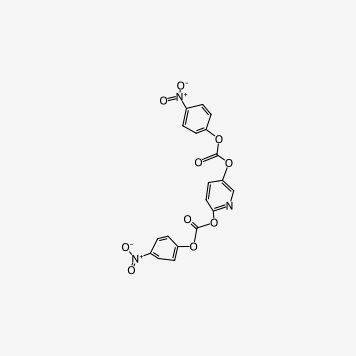 O=C(Oc1ccc([N+](=O)[O-])cc1)Oc1ccc(OC(=O)Oc2ccc([N+](=O)[O-])cc2)nc1